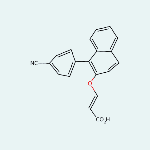 N#Cc1ccc(-c2c(O/C=C/C(=O)O)ccc3ccccc23)cc1